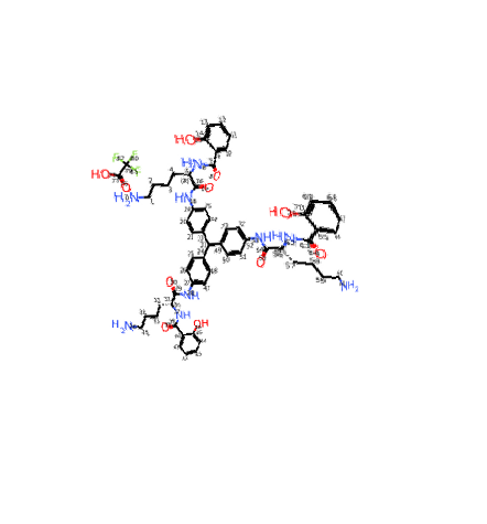 NCCCC[C@@H](NC(=O)c1ccccc1O)C(=O)Nc1ccc(C(c2ccc(NC(=O)[C@@H](CCCCN)NC(=O)c3ccccc3O)cc2)c2ccc(NC(=O)[C@@H](CCCCN)NC(=O)c3ccccc3O)cc2)cc1.O=C(O)C(F)(F)F